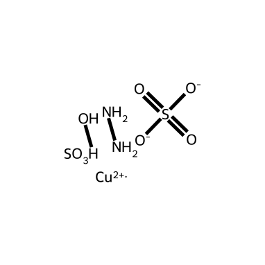 NN.O=S(=O)(O)O.O=S(=O)([O-])[O-].[Cu+2]